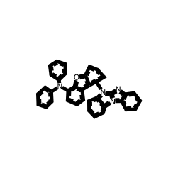 c1ccc(N(c2ccccc2)c2cccc3c2oc2cccc(-n4c5ccccc5n5c6ccccc6nc45)c23)cc1